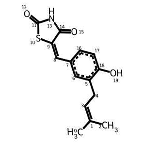 CC(C)=CCc1cc(C=C2SC(=O)NC2=O)ccc1O